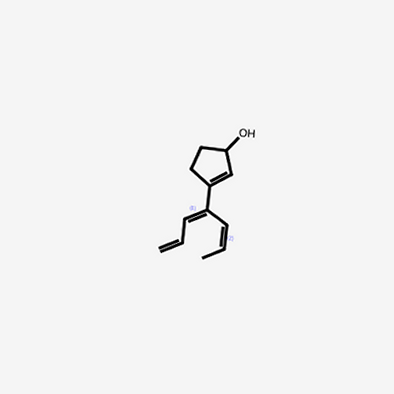 C=C/C=C(\C=C/C)C1=CC(O)CC1